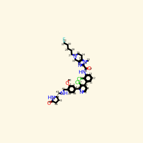 COc1cc(-c2nccc(-c3cccc(NC(=O)c4nc5c(n4C)CCN(CCCCCF)C5)c3Cl)c2Cl)ccc1CNC[C@@H]1CCC(=O)N1